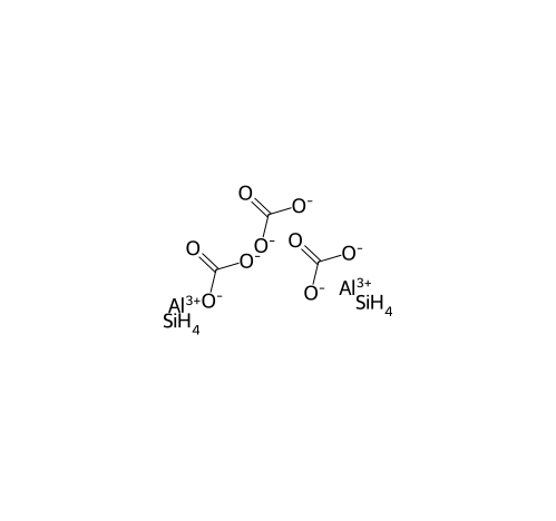 O=C([O-])[O-].O=C([O-])[O-].O=C([O-])[O-].[Al+3].[Al+3].[SiH4].[SiH4]